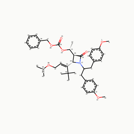 COc1ccc(CC(Cc2ccc(OC)cc2)N2C(=O)[C@H]([C@@H](C)OC(=O)OCc3ccccc3)[C@H]2C(=CCO[SiH](C)C)C(C)(C)C)cc1